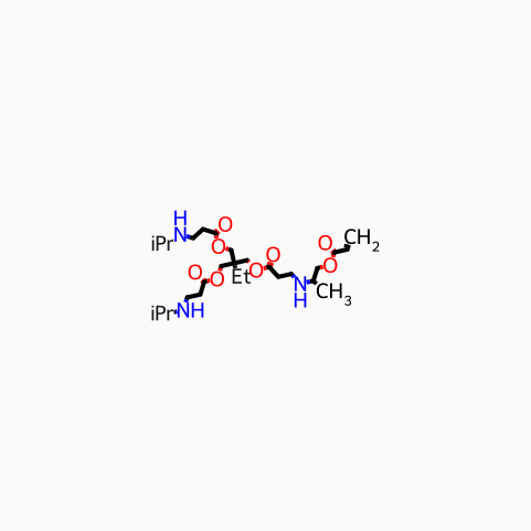 [CH2]C(C)NCCC(=O)OCC(CC)(COC(=O)CCNC([CH2])C)COC(=O)CCNC(C)COC(=O)C=C